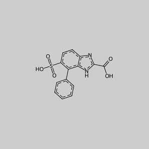 O=C(O)c1nc2ccc(S(=O)(=O)O)c(-c3ccccc3)c2[nH]1